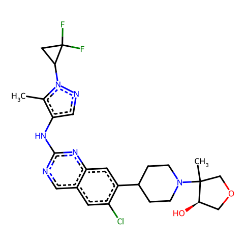 Cc1c(Nc2ncc3cc(Cl)c(C4CCN(C5(C)COC[C@H]5O)CC4)cc3n2)cnn1C1CC1(F)F